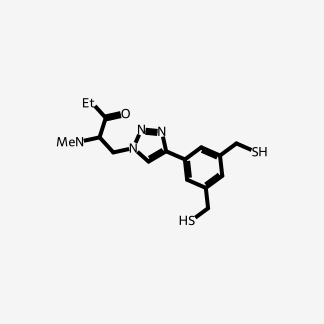 CCC(=O)C(Cn1cc(-c2cc(CS)cc(CS)c2)nn1)NC